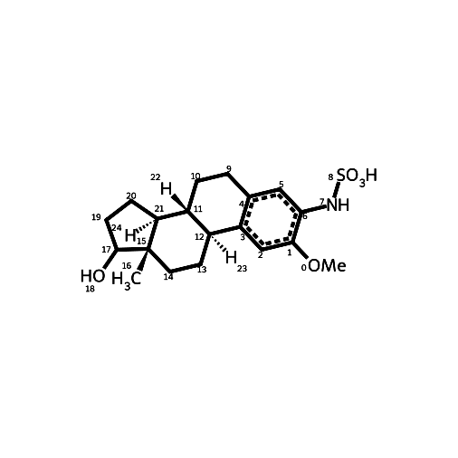 COc1cc2c(cc1NS(=O)(=O)O)CC[C@@H]1[C@@H]2CC[C@]2(C)C(O)CC[C@@H]12